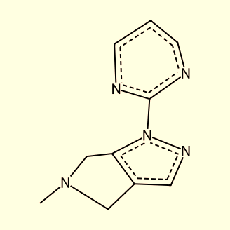 CN1Cc2cnn(-c3ncccn3)c2C1